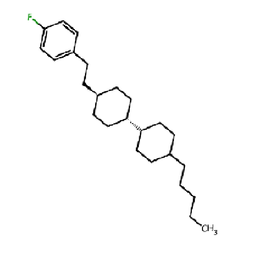 CCCCCC1CCC([C@H]2CC[C@H](CCc3ccc(F)cc3)CC2)CC1